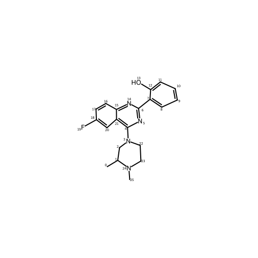 CC1CN(c2nc(-c3ccccc3O)nc3ccc(F)cc23)CCN1C